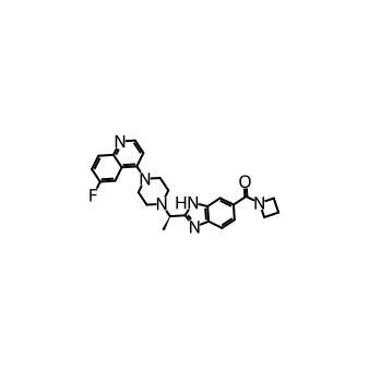 C[C@H](c1nc2ccc(C(=O)N3CCC3)cc2[nH]1)N1CCN(c2ccnc3ccc(F)cc23)CC1